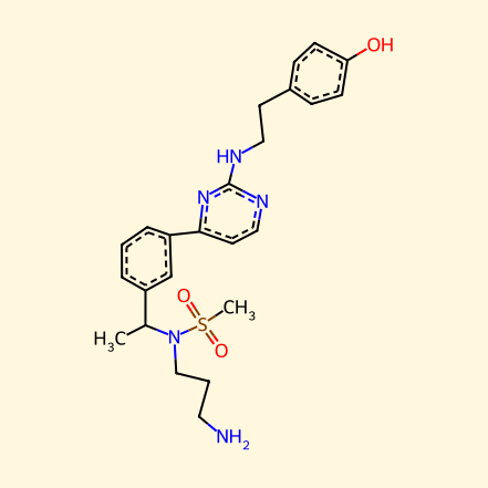 CC(c1cccc(-c2ccnc(NCCc3ccc(O)cc3)n2)c1)N(CCCN)S(C)(=O)=O